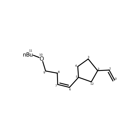 C=CC1CCC(/C=C\CCOCCCC)C1